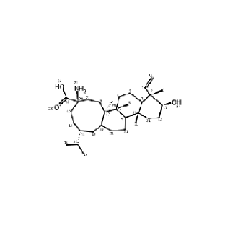 C=C[C@@]1(C)C2CC[C@]3(C)C(CCC4C[C@H](C(C)C)CC[C@](N)(C(=O)O)CC[C@]43C)[C@@]2(C)CC[C@@H]1O